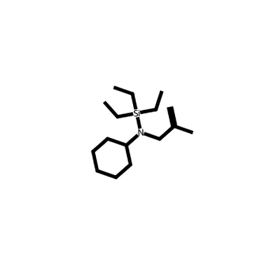 C=C(C)CN(C1CCCCC1)[Si](CC)(CC)CC